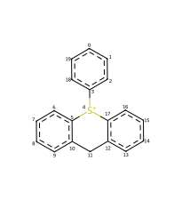 c1ccc([S+]2c3ccccc3Cc3ccccc32)cc1